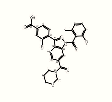 Cc1cccc(Cl)c1C(=O)n1nc(-c2ccc(C(=O)O)cc2F)c2ncc(C(=O)N3CCCOC3)cc21